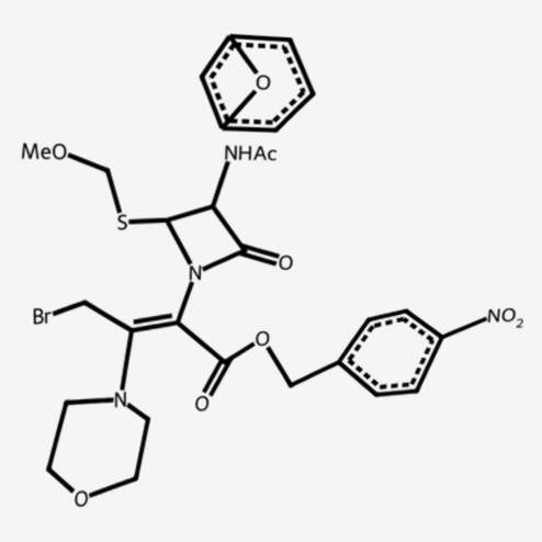 COCSC1C(NC(C)=O)C(=O)N1C(C(=O)OCc1ccc([N+](=O)[O-])cc1)=C(CBr)N1CCOCC1.c1cc2cc(c1)O2